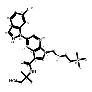 CC(C)(CO)NC(=O)c1cn(COCC[Si](C)(C)C)c2ncc(-n3ncc4ccc(Cl)cc43)nc12